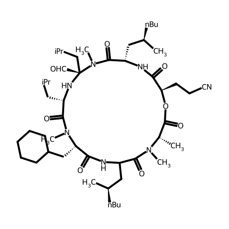 CCCC[C@@H](C)CC1NC(=O)[C@H](CC2CCCCC2)N(C)C(=O)[C@H](CC(C)C)N[C@](C=O)(CC(C)C)N(C)C(=O)[C@H](C[C@H](C)CCCC)NC(=O)[C@@H](CCC#N)OC(=O)[C@H](C)N(C)C1=O